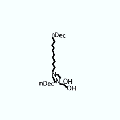 CCCCCCCCCCCCCCCCCCCCCN1CCN(CC(O)CO)C(CCCCCCCCCC)C1